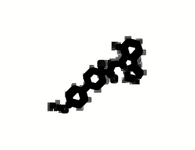 CC(C)Oc1ccc(C2CCC(O)(C(=O)CC3c4c(F)cccc4-c4cncn43)CC2)cc1